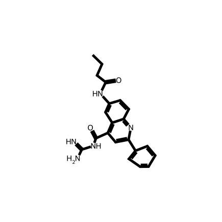 CCCC(=O)Nc1ccc2nc(-c3ccccc3)cc(C(=O)NC(=N)N)c2c1